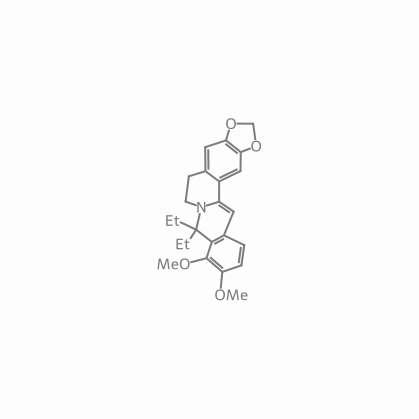 CCC1(CC)c2c(ccc(OC)c2OC)C=C2c3cc4c(cc3CCN21)OCO4